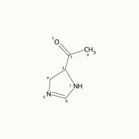 CC(=O)C1CN=CN1